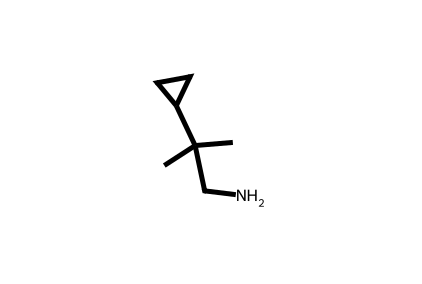 CC(C)(CN)C1CC1